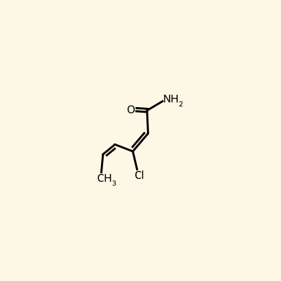 C/C=C\C(Cl)=C/C(N)=O